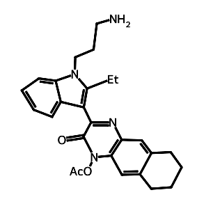 CCc1c(-c2nc3cc4c(cc3n(OC(C)=O)c2=O)CCCC4)c2ccccc2n1CCCN